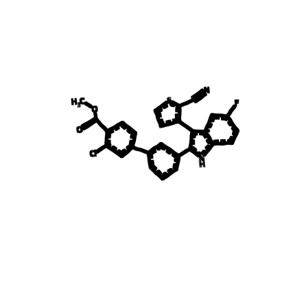 COC(=O)c1ccc(-c2cccc(-c3[nH]c4ccc(F)cc4c3-c3ccsc3C#N)c2)cc1Cl